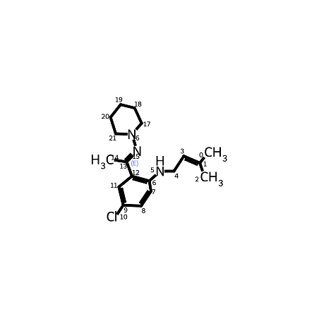 CC(C)=CCNc1ccc(Cl)cc1/C(C)=N/N1CCCCC1